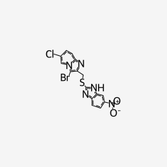 O=[N+]([O-])c1ccc2nc(SCc3nc4ccc(Cl)cn4c3Br)[nH]c2c1